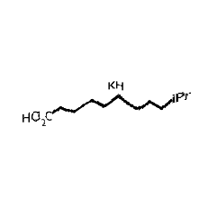 CC(C)CCCCCCCCC(=O)O.[KH]